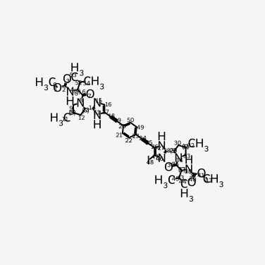 COC(=O)N[C@H](C(=O)N1C[C@@H](C)C[C@H]1c1ncc(C#Cc2ccc(C#Cc3[nH]c([C@@H]4C[C@H](C)CN4C(=O)[C@@H](NC(=O)OC)C(C)C)nc3I)cc2)[nH]1)C(C)C